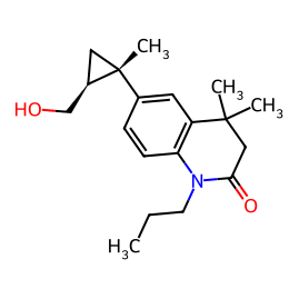 CCCN1C(=O)CC(C)(C)c2cc([C@@]3(C)C[C@@H]3CO)ccc21